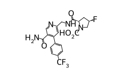 NC(=O)c1cnc(CNC(=O)[C@H]2C[C@@H](F)CN2C(=O)O)cc1-c1ccc(C(F)(F)F)cc1